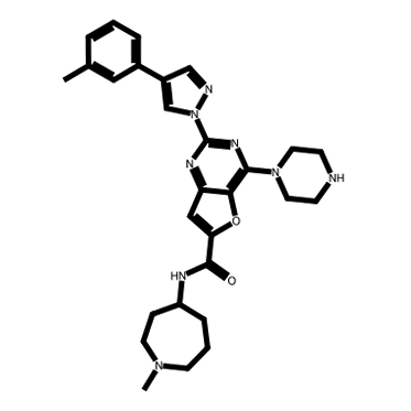 Cc1cccc(-c2cnn(-c3nc(N4CCNCC4)c4oc(C(=O)NC5CCCN(C)CC5)cc4n3)c2)c1